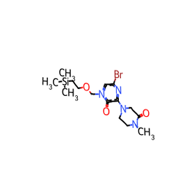 CN1CCN(c2nc(Br)cn(COCC[Si](C)(C)C)c2=O)CC1=O